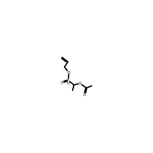 C=CCO[PH](=O)C(C)OC(C)=O